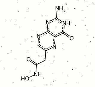 Nc1nc2ncc(CC(=O)NO)nc2c(=O)[nH]1